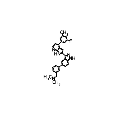 Cc1cc(F)cc(-c2ccnc3[nH]c(-c4n[nH]c5ccc(-c6cccc(CN(C)C)c6)cc45)cc23)c1